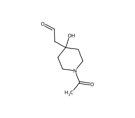 CC(=O)N1CCC(O)(CC=O)CC1